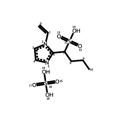 C=Cn1ccnc1C(CCC)S(=O)(=O)O.O=S(=O)(O)O